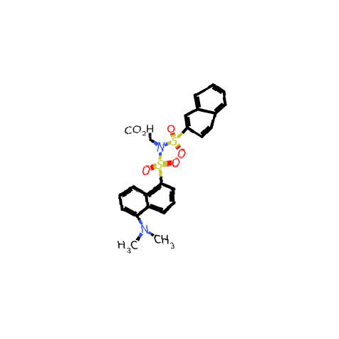 CN(C)c1cccc2c(S(=O)(=O)N(CC(=O)O)S(=O)(=O)c3ccc4ccccc4c3)cccc12